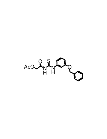 CC(=O)OCC(=O)NC(=S)Nc1cccc(OCc2ccccc2)c1